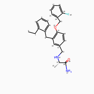 CCc1ccccc1Cc1cc(CN[C@@H](C)C(N)=O)ccc1OCc1ccccc1F